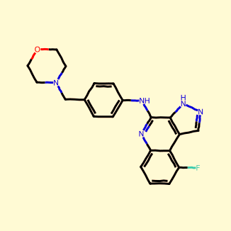 Fc1cccc2nc(Nc3ccc(CN4CCOCC4)cc3)c3[nH]ncc3c12